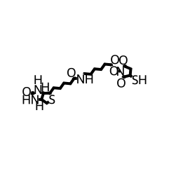 O=C(CCCCC1SC[C@@H]2NC(=O)N[C@H]12)NCCCCCC(=O)ON1C(=O)CC(S)C1=O